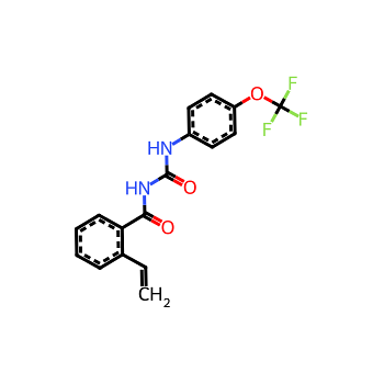 C=Cc1ccccc1C(=O)NC(=O)Nc1ccc(OC(F)(F)F)cc1